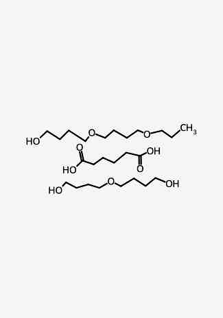 CCCOCCCCOCCCCO.O=C(O)CCCCC(=O)O.OCCCCOCCCCO